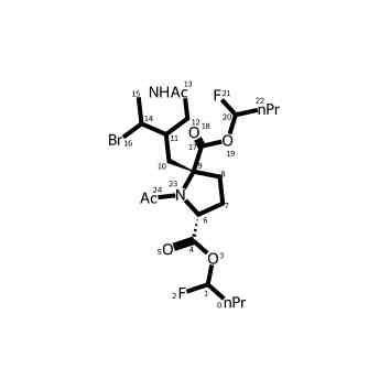 CCCC(F)OC(=O)[C@H]1CC[C@@](CC(CNC(C)=O)C(C)Br)(C(=O)OC(F)CCC)N1C(C)=O